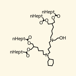 CCCCCCCC(=O)OCC(CCCCN(CCO)CCCCN(CCCCC(COC(=O)CCCCCCC)COC(=O)CCCCCCC)C1CCCCC1)COC(=O)CCCCCCC